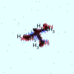 CC(=O)OCC1O[C@@H](OCCCCC(=O)NCCCNC(=O)CCOCC(COCCC(=O)NCCCNC(=O)CCCCO[C@@H]2OC(COC(C)=O)[C@H](O)C(O)[C@@H]2C)(COCCC(=O)NCCCNC(=O)CCCCO[C@@H]2OC(COC(C)=O)[C@H](O)C(O)[C@@H]2N)NC(=O)OCc2ccccc2)[C@@H](C)C=C1O